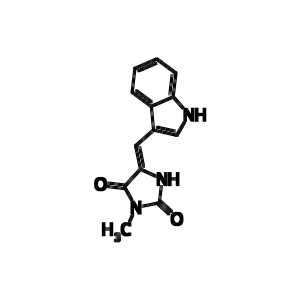 CN1C(=O)NC(=Cc2c[nH]c3ccccc23)C1=O